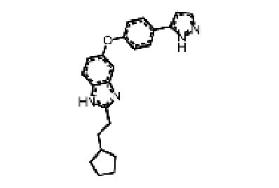 c1cc(-c2ccc(Oc3ccc4[nH]c(CCC5CCCC5)nc4c3)cc2)[nH]n1